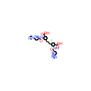 O=C(Nc1cc(CCCc2cc(NC(=O)c3ccc4nnnn4n3)c(C(=O)O)cc2F)ccc1C(=O)O)c1ccc(-n2ccnc2)nn1